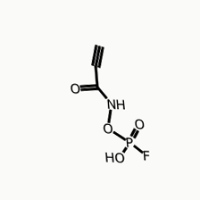 C#CC(=O)NOP(=O)(O)F